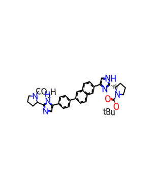 CC(C)(C)OC(=O)N1CCC[C@H]1c1nc(-c2ccc3cc(-c4ccc(-c5cnc(C6CCCN6C(=O)O)[nH]5)cc4)ccc3c2)c[nH]1